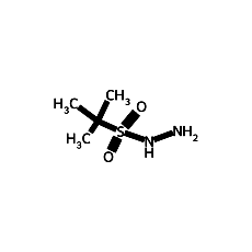 CC(C)(C)S(=O)(=O)NN